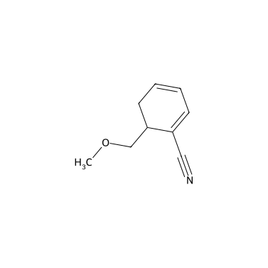 COCC1CC=CC=C1C#N